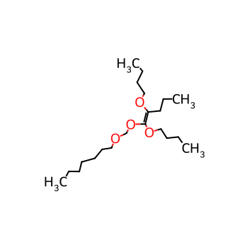 CCCCCCCOCOC(OCCCC)=C(CCC)OCCCC